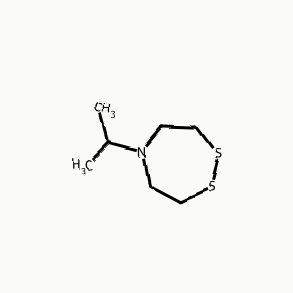 CC(C)N1CCSSCC1